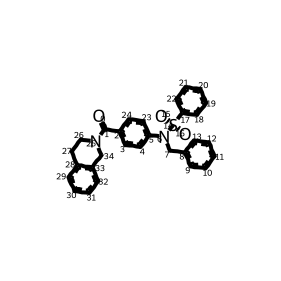 O=C(c1ccc(N(Cc2ccccc2)S(=O)(=O)c2ccccc2)cc1)N1CCc2ccccc2C1